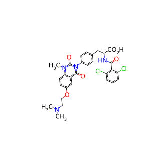 CN(C)CCOc1ccc2c(c1)c(=O)n(-c1ccc(C[C@H](NC(=O)c3c(Cl)cccc3Cl)C(=O)O)cc1)c(=O)n2C